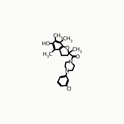 Cc1c(C)c2c(c(C)c1O)CCC(C)(C(=O)N1CCN(c3cccc(Cl)c3)CC1)O2